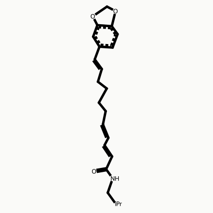 CC(C)CNC(=O)/C=C/C=C/CCCC/C=C/c1ccc2c(c1)OCO2